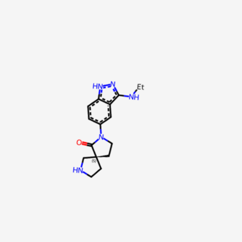 CCNc1n[nH]c2ccc(N3CC[C@]4(CCNC4)C3=O)cc12